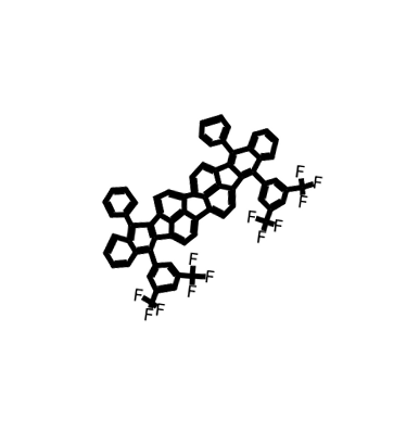 FC(F)(F)c1cc(-c2c3c(c(-c4ccccc4)c4ccccc24)-c2ccc4c5ccc6c7c(ccc(c8ccc-3c2c48)c75)-c2c-6c(-c3ccccc3)c3ccccc3c2-c2cc(C(F)(F)F)cc(C(F)(F)F)c2)cc(C(F)(F)F)c1